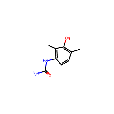 Cc1ccc(NC(N)=O)c(C)c1O